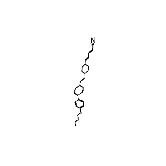 CCCCCc1ccc([C@H]2CC[C@H](C=C[C@H]3CC[C@H](C=CC=CC#N)CC3)CC2)cc1